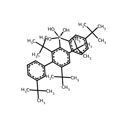 CC(C)(C)c1cccc(-c2c(C(C)(C)C)cc(C(C)(C)C)c(P(O)(O)(O)c3cccc(C(C)(C)C)c3)c2C(C)(C)C)c1